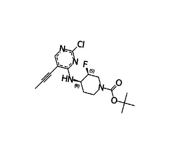 CC#Cc1cnc(Cl)nc1N[C@@H]1CCN(C(=O)OC(C)(C)C)C[C@@H]1F